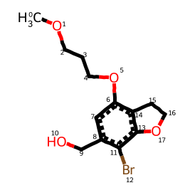 COCCCOc1cc(CO)c(Br)c2c1CCO2